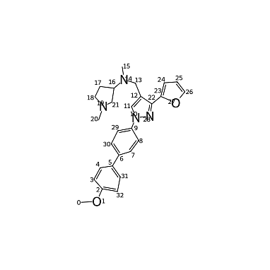 COc1ccc(-c2ccc(-n3cc(CN(C)C4CCN(C)C4)c(-c4ccco4)n3)cc2)cc1